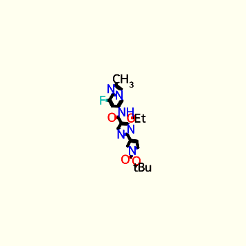 CCOc1nc(C2=CCN(C(=O)OC(C)(C)C)C2)ncc1C(=O)Nc1cc(F)c2nc(C)cn2c1